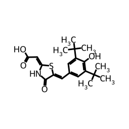 CC(C)(C)c1cc(/C=c2\s/c(=C/C(=O)O)[nH]c2=O)cc(C(C)(C)C)c1O